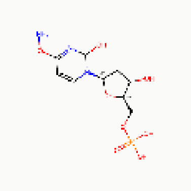 NOC1=NC(O)N([C@H]2CC(O)[C@@H](COP(=O)(O)O)O2)C=C1